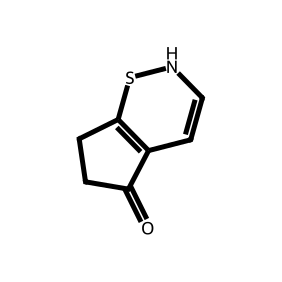 O=C1CCC2=C1C=CNS2